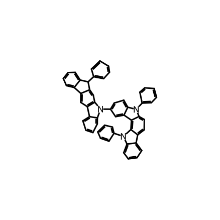 c1ccc(C2c3ccccc3-c3cc4c5ccccc5n(-c5ccc6c(c5)c5c(ccc7c8ccccc8n(-c8ccccc8)c75)n6-c5ccccc5)c4cc32)cc1